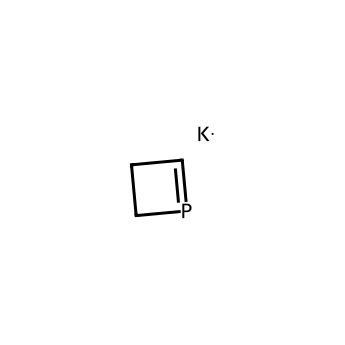 C1=PCC1.[K]